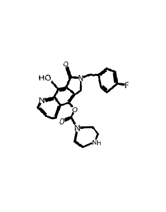 O=C(Oc1c2c(c(O)c3ncccc13)C(=O)N(Cc1ccc(F)cc1)C2)N1CCNCC1